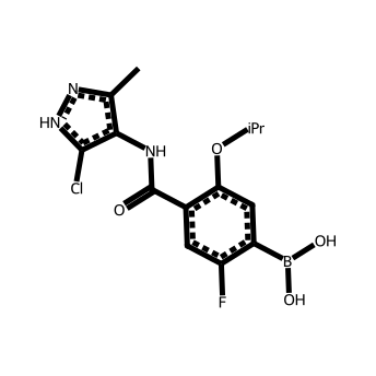 Cc1n[nH]c(Cl)c1NC(=O)c1cc(F)c(B(O)O)cc1OC(C)C